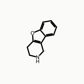 [CH]1NCCc2oc3ccccc3c21